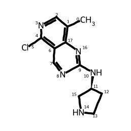 Cc1cnc(Cl)c2cnc(N[C@H]3CCNC3)nc12